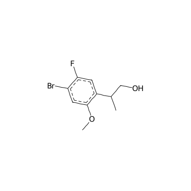 COc1cc(Br)c(F)cc1C(C)CO